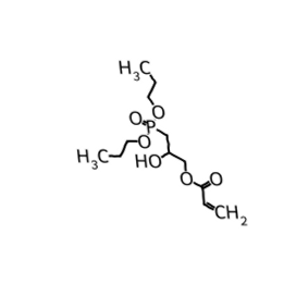 C=CC(=O)OCC(O)CP(=O)(OCCC)OCCC